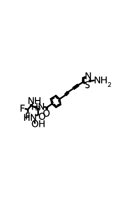 N=C(C(F)F)[C@H](NC(=O)c1ccc(C#CC#Cc2cnc(N)s2)cc1)C(=O)NO